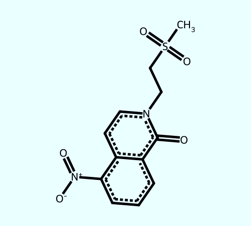 CS(=O)(=O)CCn1ccc2c([N+](=O)[O-])cccc2c1=O